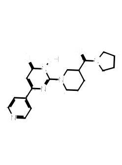 Cn1c(N2CCCC(C(=O)N3CCCC3)C2)nc(-c2ccncc2)cc1=O